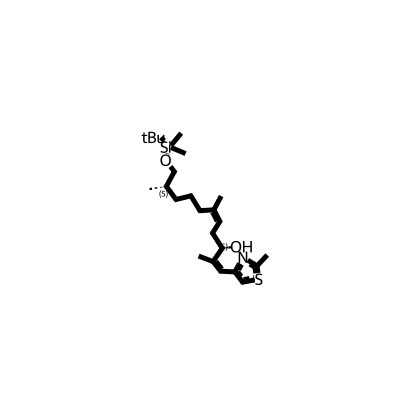 CC(=CC[C@H](O)C(C)=Cc1csc(C)n1)CCC[C@H](C)CO[Si](C)(C)C(C)(C)C